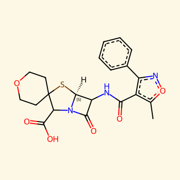 Cc1onc(-c2ccccc2)c1C(=O)NC1C(=O)N2C(C(=O)O)C3(CCOCC3)S[C@@H]12